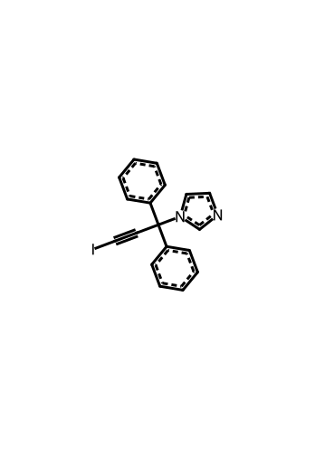 IC#CC(c1ccccc1)(c1ccccc1)n1ccnc1